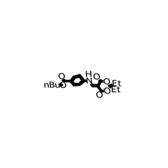 CCCCOC(=O)c1ccc(NC=C2C(=O)OC(CC)(CC)OC2=O)cc1